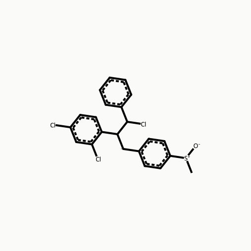 C[S+]([O-])c1ccc([CH]C(c2ccc(Cl)cc2Cl)C(Cl)c2ccccc2)cc1